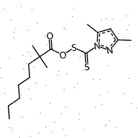 CCCCCCC(C)(C)C(=O)OSC(=S)n1nc(C)cc1C